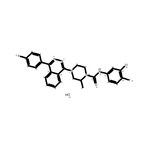 CC1CN(c2nnc(-c3ccc(F)cc3)c3ccccc23)CCN1C(=O)Nc1ccc(F)c(Cl)c1.Cl